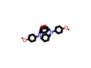 COc1ccc(-n2c3ccc(cc3)n(-c3ccc(OC)cc3)c3ccc2c2c4ccc(cc4)c23)cc1